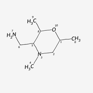 CC1CN(C)C(CN)C(C)O1